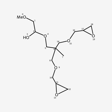 COCC(O)OCC(C)(COCC1CO1)COCC1CO1